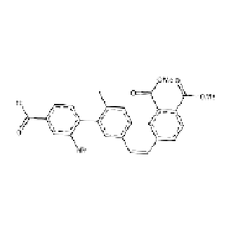 CCCc1cc(C(=O)CC)ccc1-c1cc(/C=C\c2ccc(C(=O)OC)c(C(=O)OC)c2)ccc1C